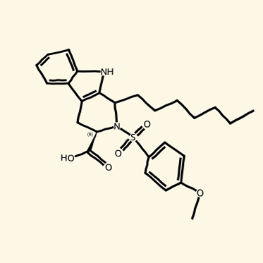 CCCCCCCC1c2[nH]c3ccccc3c2C[C@H](C(=O)O)N1S(=O)(=O)c1ccc(OC)cc1